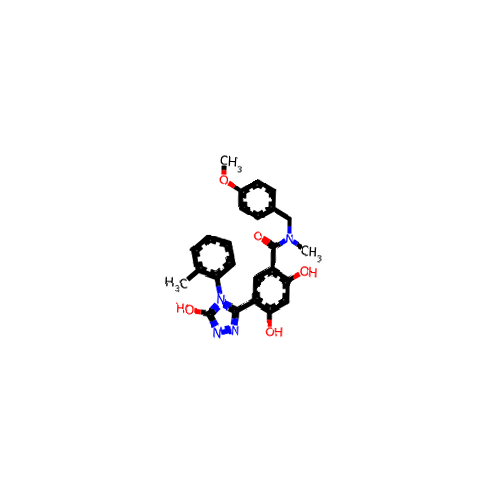 COc1ccc(CN(C)C(=O)c2cc(-c3nnc(O)n3-c3ccccc3C)c(O)cc2O)cc1